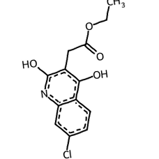 CCOC(=O)Cc1c(O)nc2cc(Cl)ccc2c1O